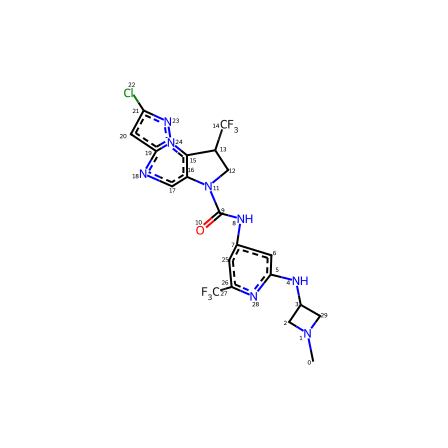 CN1CC(Nc2cc(NC(=O)N3CC(C(F)(F)F)c4c3cnc3cc(Cl)nn43)cc(C(F)(F)F)n2)C1